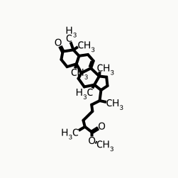 COC(=O)C(C)CCCC(C)C1CCC2(C)C3=CCC4C(C)(C)C(=O)CCC4(C)C3CCC12C